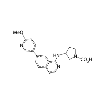 COc1ccc(-c2ccc3ncnc(NC4CCN(C(=O)O)C4)c3c2)cn1